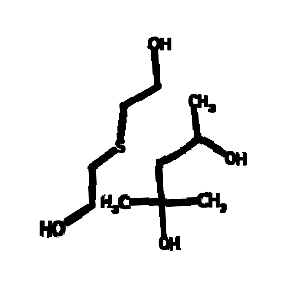 CC(O)CC(C)(C)O.OCCSCCO